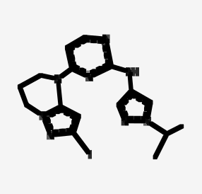 CC(C)n1cc(Nc2nccc(N3CCCn4nc(I)cc43)n2)cn1